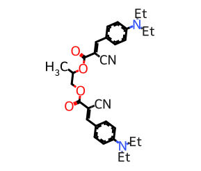 CCN(CC)c1ccc(/C=C(\C#N)C(=O)OCC(C)OC(=O)/C(C#N)=C/c2ccc(N(CC)CC)cc2)cc1